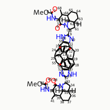 COC(=O)N[C@@H]1C(=O)N2[C@H](c3nc4cc(-c5cc6ccc5CCc5ccc(c(-c7ccc8[nH]c([C@@H]9C[C@@H]%10CCCC%11C(C)[C@H](NC(=O)OC)C(=O)N9[C@@H]%11%10)nc8c7)c5)CC6)ccc4[nH]3)C[C@@H]3CCCC(C1C)[C@@H]32